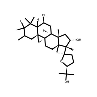 CC1C[C@]23C[C@]24CC[C@]25C[C@@]6(CC[C@@H](C(C)(C)O)O6)[C@H]2[C@@H](O)C[C@@]5(C)[C@@H]4C[C@H](O)[C@H]3C(C)(C)C1(F)F